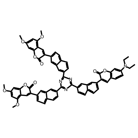 CCN(CC)c1ccc2cc(-c3ccc4ccc(-c5nc(-c6ccc7ccc(-c8cc9c(OC)cc(OC)cc9oc8=O)cc7c6)nc(-c6ccc7ccc(-c8cc9c(OC)cc(OC)cc9oc8=O)cc7c6)n5)cc4c3)c(=O)oc2c1